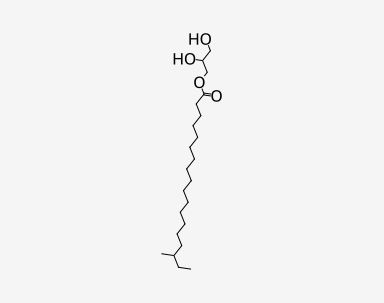 CCC(C)CCCCCCCCCCCCCCC(=O)OCC(O)CO